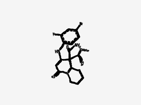 COC(=O)C1(C(N)=O)C(Nc2ccc(Br)cc2F)=CC(=O)N2CCCCC21